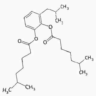 CC(C)CCCCC(=O)Oc1cccc(CC(C)C)c1OC(=O)CCCCC(C)C